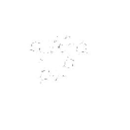 CC(C)C(NC(=O)C(c1ccccc1)c1ccccc1)C(=O)N[C@@H](Cc1ccccc1)[C@@H](O)CCC(=O)O.NC(=O)Cc1ccccc1